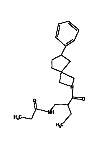 CCC(=O)NCC(CC)C(=O)N1CC2(CCC(c3ccccc3)C2)C1